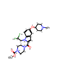 CC(C)N1CCC(Oc2ccc3c(c2)cc(C(=O)N2CCN(C(=O)OC(C)(C)C)CC2)n3CC(F)F)CC1